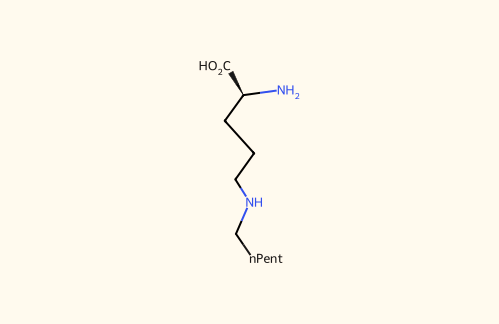 CCCCCCNCCC[C@H](N)C(=O)O